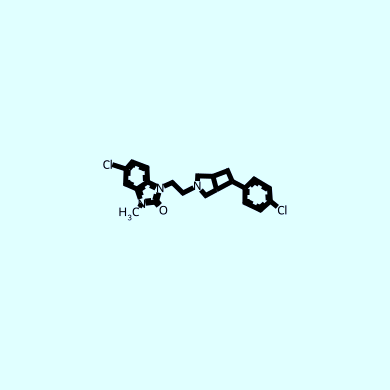 Cn1c(=O)n(CCN2CC3CC(c4ccc(Cl)cc4)C3C2)c2ccc(Cl)cc21